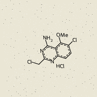 COc1c(Cl)ccc2nc(CCl)nc(N)c12.Cl